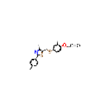 Cc1ccc(-c2nc(C)c(CSc3ccc(OCC=O)c(C)c3)s2)cc1